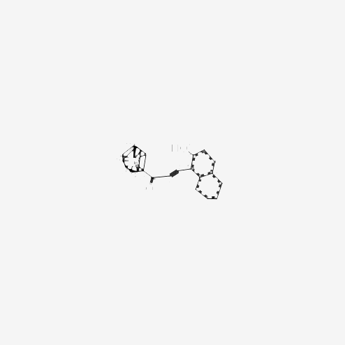 O=C(C#Cc1c(O)ccc2ccccc12)[C]12[CH]3[CH]4[CH]5[CH]1[Fe]45321678[CH]2[CH]1[CH]6[CH]7[CH]28